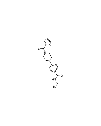 CCC(C)CNC(=O)c1ccc(N2CCN(C(=O)c3cccs3)CC2)nc1